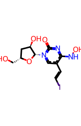 O=c1nc(NO)c(C=CI)cn1[C@@H]1O[C@H](CO)C[C@H]1O